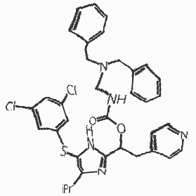 CC(C)c1nc(C(Cc2ccncc2)OC(=O)NCN(Cc2ccccc2)Cc2ccccc2)[nH]c1Sc1cc(Cl)cc(Cl)c1